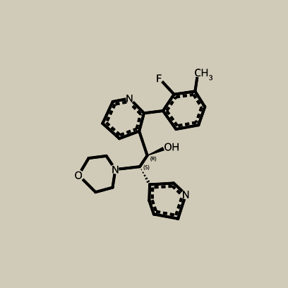 Cc1cccc(-c2ncccc2[C@@H](O)[C@H](c2cccnc2)N2CCOCC2)c1F